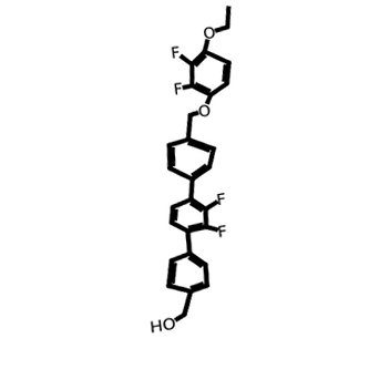 CCOc1ccc(OCc2ccc(-c3ccc(-c4ccc(CO)cc4)c(F)c3F)cc2)c(F)c1F